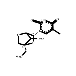 COC[C@]12COC(C1OC)[C@H](n1cc(C)c(=O)[nH]c1=O)O2